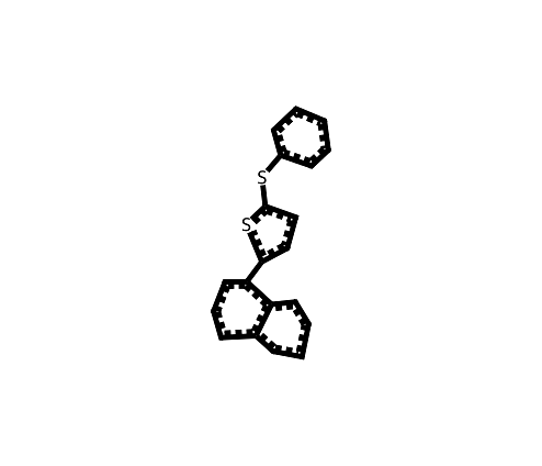 c1ccc(Sc2ccc(-c3cccc4ccccc34)s2)cc1